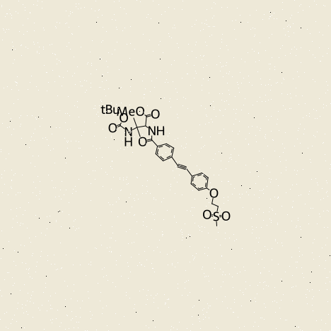 COC(=O)C(NC(=O)c1ccc(C#Cc2ccc(OCCS(C)(=O)=O)cc2)cc1)C(C)(C)NC(=O)OC(C)(C)C